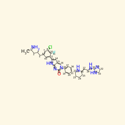 C[C@H](N)CCCc1cc(Cl)c(F)c(-c2cc3cn(-c4ccc([C@H]5CCC[C@H](CCNC6=NCCN6)N5)cc4)c(=O)nc3[nH]2)c1